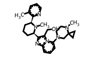 Cc1cccnc1[C@@H]1CCC[C@H](c2nc3cccc(N4CCN(C)C5(CC5)C4)n3c2CO)N1C